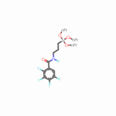 CCCO[Si](CCCN(F)C(=O)c1cc(F)c(F)c(F)c1F)(OCCC)OCCC